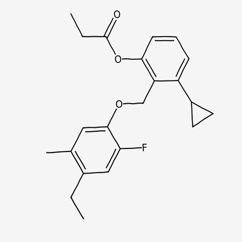 CCC(=O)Oc1cccc(C2CC2)c1COc1cc(C)c(CC)cc1F